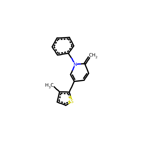 C=C1C=CC(c2sccc2C)=CN1c1ccccc1